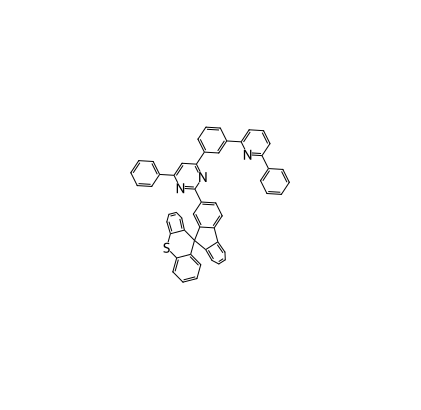 c1ccc(-c2cccc(-c3cccc(-c4cc(-c5ccccc5)nc(-c5ccc6c(c5)C5(c7ccccc7Sc7ccccc75)c5ccccc5-6)n4)c3)n2)cc1